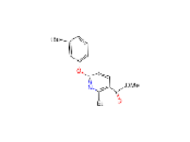 CCc1nc(Oc2cccc(C(C)(C)C)c2)ccc1C(=O)OC